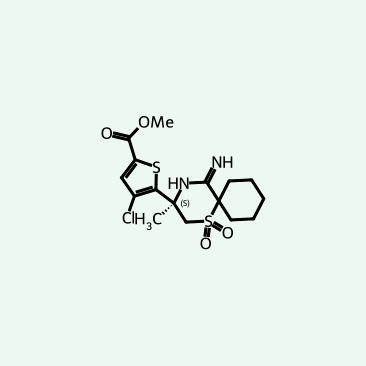 COC(=O)c1cc(Cl)c([C@]2(C)CS(=O)(=O)C3(CCCCC3)C(=N)N2)s1